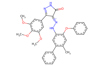 COc1cc(C2=NNC(=O)/C2=N/Nc2cc(-c3ccccc3)c(C)cc2Oc2ccccc2)cc(OC)c1OC